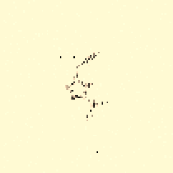 N#CCn1nnc([N+](=O)[O-])n1